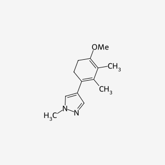 COC1=C(C)C(C)=C(c2cnn(C)c2)CC1